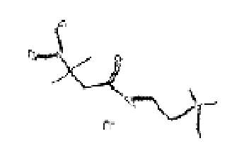 CC(C)(CC(=O)OCC[N+](C)(C)C)N(Cl)Cl.[Cl-]